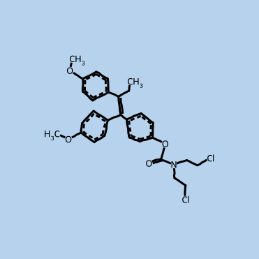 CCC(=C(c1ccc(OC)cc1)c1ccc(OC(=O)N(CCCl)CCCl)cc1)c1ccc(OC)cc1